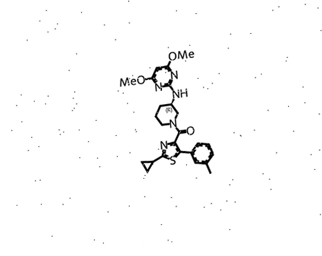 COc1cc(OC)nc(N[C@@H]2CCCN(C(=O)c3nc(C4CC4)sc3-c3cccc(C)c3)C2)n1